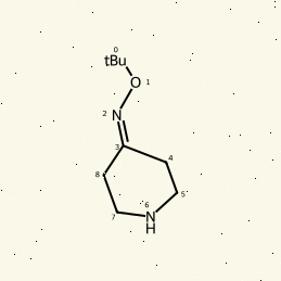 CC(C)(C)ON=C1CCNCC1